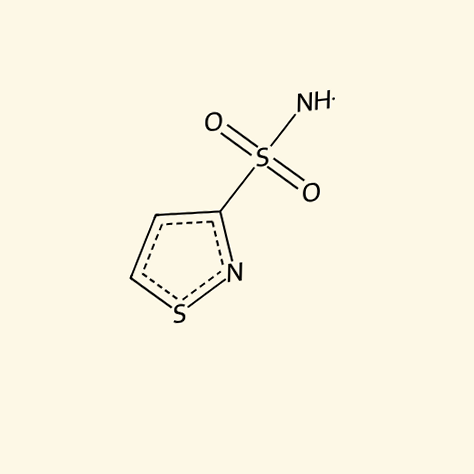 [NH]S(=O)(=O)c1ccsn1